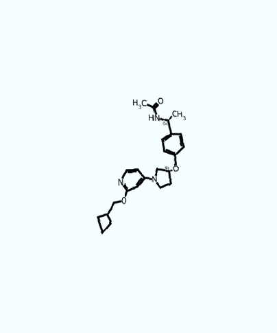 CC(=O)N[C@@H](C)c1ccc(O[C@@H]2CCN(c3ccnc(OCC4CCC4)c3)C2)cc1